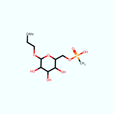 COCCOC1OC(COP(C)(=O)O)C(O)C(O)C1O